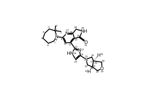 CC1(C)CCCCCN1c1cc(-c2nc(N3C[C@H]4COC[C@H]4C3)c[nH]2)c2c(n1)CNC2=O